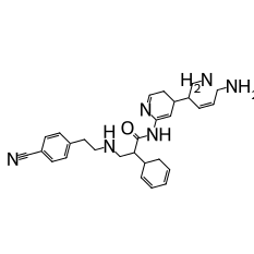 N#Cc1ccc(CCNCC(C(=O)NC2=CC(C(/C=C\CN)CN)CC=N2)C2C=CC=CC2)cc1